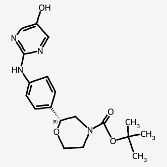 CC(C)(C)OC(=O)N1CCO[C@H](c2ccc(Nc3ncc(O)cn3)cc2)C1